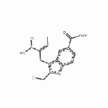 C/C=C(/Cn1c(CCl)nc2ccc(C(=O)OC)cc21)N(O)CC